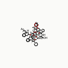 CC(=O)N(C)CC(=O)N[C@H](Cc1ccccc1)C(=O)N(C)[C@@H](CC(C)C)C(=O)N(C)[C@@H](CC(C)C)C(=O)N[C@H](Cc1ccccc1)C(=O)N(C)[C@@H](CC(C)C)C(=O)NCC(=O)N1CCC[C@H]1C(=O)N[C@@H](C(=O)N[C@H](CC(C)C)C(=O)NC(=O)N(C)C(Cc1ccccc1)C(=O)N[C@@H](C)C(=O)N1CCCCC1)[C@@H](C)O